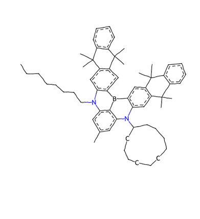 CCCCCCCCN1c2cc3c(cc2B2c4cc5c(cc4N(C4CCCCCCCCCC4)c4cc(C)cc1c42)C(C)(C)c1ccccc1C5(C)C)C(C)(C)c1ccccc1C3(C)C